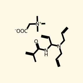 C=CCN(CC=C)C(C=C)NC(=O)C(=C)C.C[N+](C)(C)CC(=O)[O-]